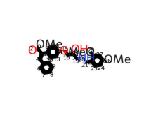 COC(=O)C(=Cc1ccccc1)c1ccc(OCC(O)CNCc2ccc(OC)cc2OC)cc1